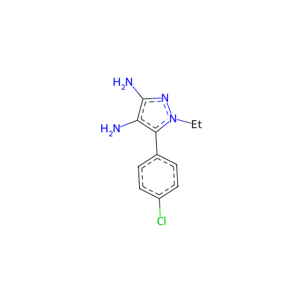 CCn1nc(N)c(N)c1-c1ccc(Cl)cc1